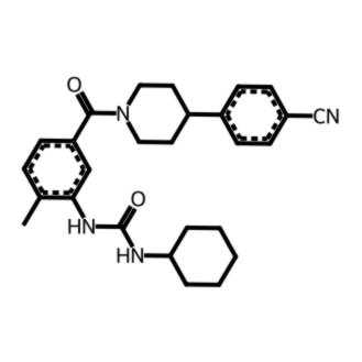 Cc1ccc(C(=O)N2CCC(c3ccc(C#N)cc3)CC2)cc1NC(=O)NC1CCCCC1